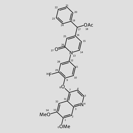 COc1cc2nccc(Oc3ccc(-n4ccc(C(OC(C)=O)c5ccccc5)cc4=O)cc3F)c2cc1OC